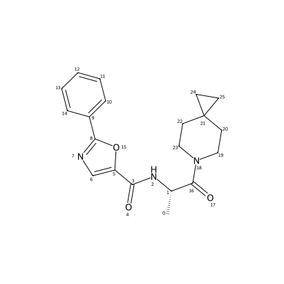 C[C@H](NC(=O)c1cnc(-c2ccccc2)o1)C(=O)N1CCC2(CC1)CC2